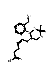 CC1(C)OC[C@@H](C/C=C\CCC(=O)O)[C@@H](c2ccccc2CO)O1